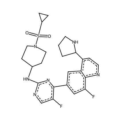 O=S(=O)(C1CC1)N1CCC(Nc2ncc(F)c(-c3cc(F)c4nccc(C5CCCN5)c4c3)n2)CC1